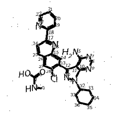 CNC(=O)O.Nc1ncnc2c1c(-c1cc3nc(-c4ccccn4)ccc3cc1Cl)nn2C1CCCCC1